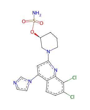 NS(=O)(=O)O[C@H]1CCCN(c2cc(-n3ccnc3)c3ccc(Cl)c(Cl)c3n2)C1